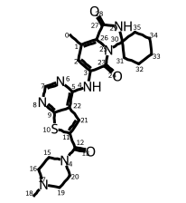 Cc1cc(Nc2ncnc3sc(C(=O)N4CCN(C)CC4)cc23)c(=O)n2c1C(=O)NC21CCCCC1